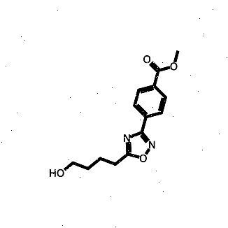 COC(=O)c1ccc(-c2noc(CCCCO)n2)cc1